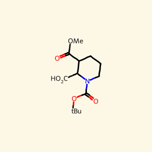 COC(=O)C1CCCN(C(=O)OC(C)(C)C)C1C(=O)O